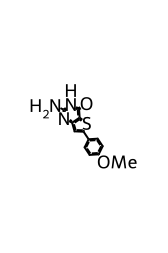 COc1ccc(-c2cc3nc(N)[nH]c(=O)c3s2)cc1